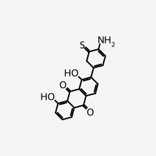 NC1=CC=C(c2ccc3c(c2O)C(=O)c2c(O)cccc2C3=O)CC1=S